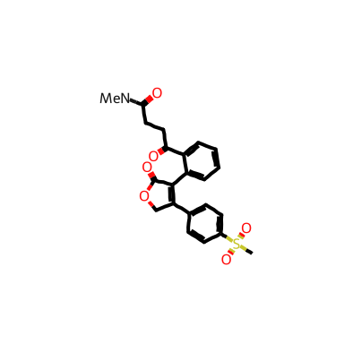 CNC(=O)CCC(=O)c1ccccc1C1=C(c2ccc(S(C)(=O)=O)cc2)COC1=O